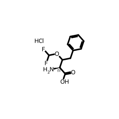 Cl.N[C@H](C(=O)O)C(Cc1ccccc1)OC(F)F